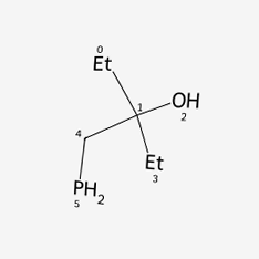 CCC(O)(CC)CP